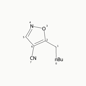 CCCCCc1oncc1C#N